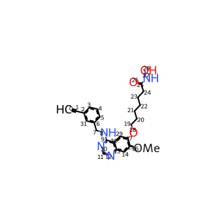 C#Cc1cccc(CNc2ncnc3cc(OC)c(OCCCCCCC(=O)NO)cc23)c1